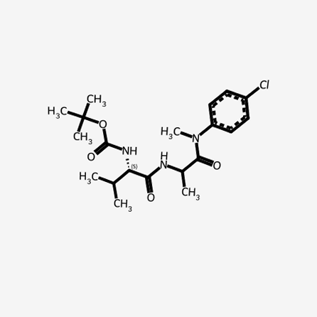 CC(NC(=O)[C@@H](NC(=O)OC(C)(C)C)C(C)C)C(=O)N(C)c1ccc(Cl)cc1